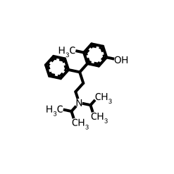 Cc1ccc(O)cc1C(CCN(C(C)C)C(C)C)c1ccccc1